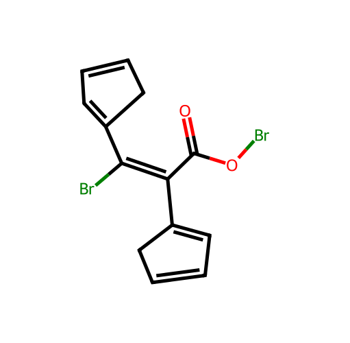 O=C(OBr)C(C1=CC=CC1)=C(Br)C1=CC=CC1